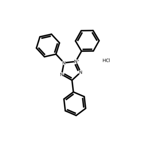 Cl.c1ccc(-c2nn(-c3ccccc3)[n+](-c3ccccc3)n2)cc1